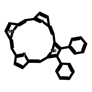 C1=Cc2cc3[nH]c(cc4nc(cc5ccc(cc1n2)[nH]5)C=C4)c(-c1ccccc1)c3-c1ccccc1